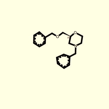 c1ccc(COC[C@@H]2CN(Cc3ccccc3)CCO2)cc1